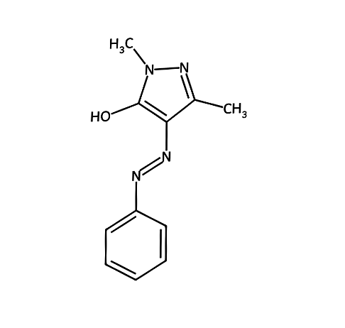 Cc1nn(C)c(O)c1/N=N/c1ccccc1